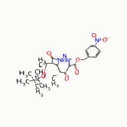 CC(O[Si](C)(C)C(C)(C)C)C1C(=O)NC1[C@@H](C)C(=O)C(=[N+]=[N-])C(=O)OCc1ccc([N+](=O)[O-])cc1